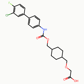 O=C(O)COCC1CCC(COC(=O)Nc2ccc(-c3ccc(F)c(Cl)c3)cc2)CC1